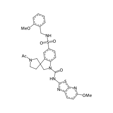 COc1ccc2nc(NC(=O)N3CC4(CCN(C(C)=O)C4)c4cc(S(=O)(=O)NCc5ccccc5OC)ccc43)sc2n1